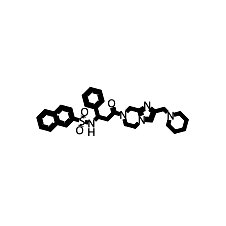 O=C(CC(NS(=O)(=O)c1ccc2ccccc2c1)c1ccccc1)N1CCn2cc(CN3CCCCC3)nc2C1